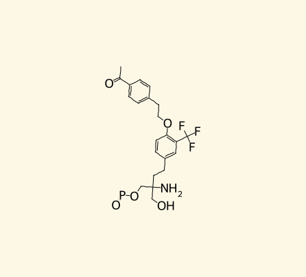 CC(=O)c1ccc(CCOc2ccc(CCC(N)(CO)COP=O)cc2C(F)(F)F)cc1